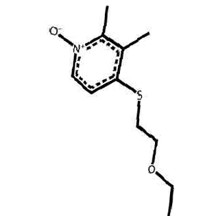 CCOCCSc1cc[n+]([O-])c(C)c1C